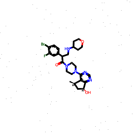 C[C@@H]1C[C@@H](O)c2ncnc(N3CCN(C(=O)C(CNC4CCOCC4)c4ccc(Br)c(F)c4)CC3)c21